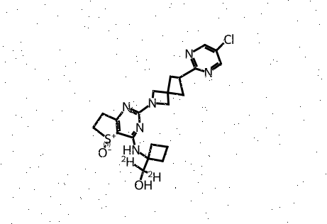 [2H]C([2H])(O)C1(Nc2nc(N3CC4(CC(c5ncc(Cl)cn5)C4)C3)nc3c2[S@+]([O-])CC3)CCC1